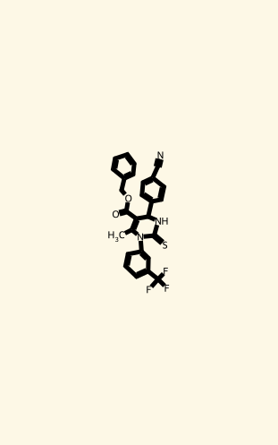 CC1=C(C(=O)OCc2ccccc2)C(c2ccc(C#N)cc2)NC(=S)N1c1cccc(C(F)(F)F)c1